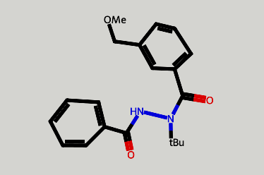 COCc1cccc(C(=O)N(NC(=O)c2ccccc2)C(C)(C)C)c1